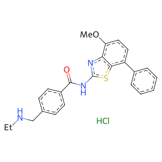 CCNCc1ccc(C(=O)Nc2nc3c(OC)ccc(-c4ccccc4)c3s2)cc1.Cl